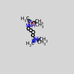 C=N/C=C(\NN[C@@H](C)CC)c1ccc2c(c1)CCc1cc3c(ccc4nc([C@@H]5C[C@H](C)CN5C(=O)C[C@H](C)CC)[nH]c43)cc1-2